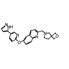 c1cc(-c2ccc(Oc3ccc4nc(CN5CCC6(COC6)C5)ccc4c3)nc2)[nH]n1